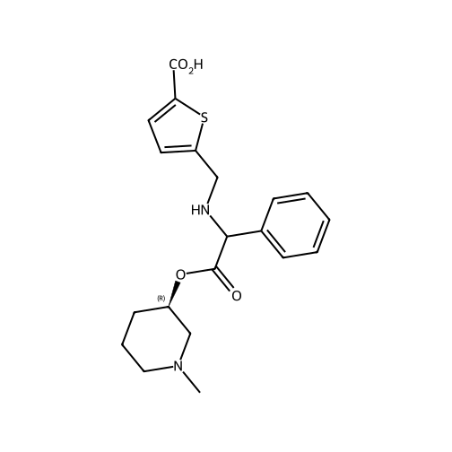 CN1CCC[C@@H](OC(=O)C(NCc2ccc(C(=O)O)s2)c2ccccc2)C1